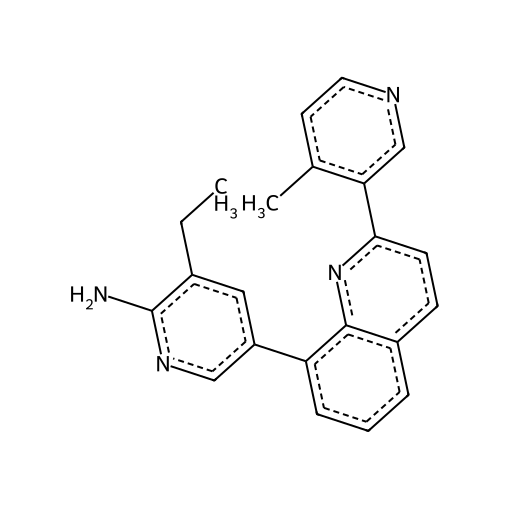 CCc1cc(-c2cccc3ccc(-c4cnccc4C)nc23)cnc1N